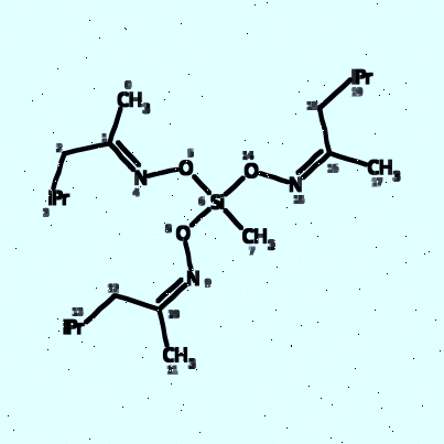 CC(CC(C)C)=NO[Si](C)(ON=C(C)CC(C)C)ON=C(C)CC(C)C